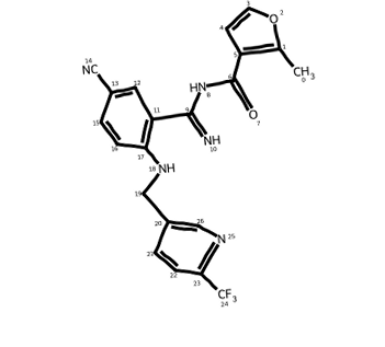 Cc1occc1C(=O)NC(=N)c1cc(C#N)ccc1NCc1ccc(C(F)(F)F)nc1